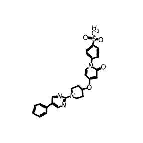 CS(=O)(=O)c1ccc(-n2ccc(OC3CCN(c4ncc(-c5ccccc5)cn4)CC3)cc2=O)cc1